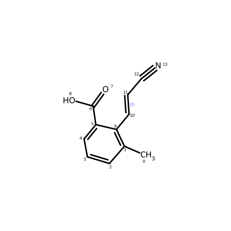 Cc1cccc(C(=O)O)c1/C=C/C#N